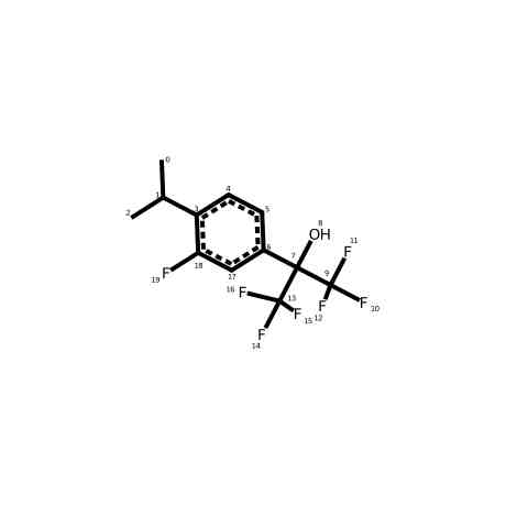 CC(C)c1ccc(C(O)(C(F)(F)F)C(F)(F)F)cc1F